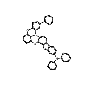 c1ccc(-c2ccc3c(c2)B2c4ccc5c(sc6cc(N(c7ccccc7)c7ccccc7)ccc65)c4Oc4cccc(c42)O3)cc1